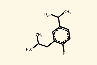 CC(C)Cc1cc(C(C)C)ccc1F